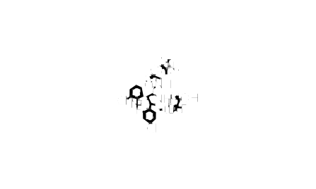 COC(=O)[C@H](Cc1cscn1)NC(=O)[C@H]1N[C@H](CC(C)(C)C)[C@@](C#N)(c2ccc(Cl)cc2F)[C@@H]1c1cccc(Cl)c1F.O=C(O)C(F)(F)F